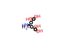 CC(C=N)(C1CCC(c2ccc(O)cc2O)CC1)C1CCC(c2ccc(O)cc2O)CC1